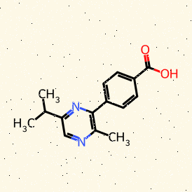 Cc1ncc(C(C)C)nc1-c1ccc(C(=O)O)cc1